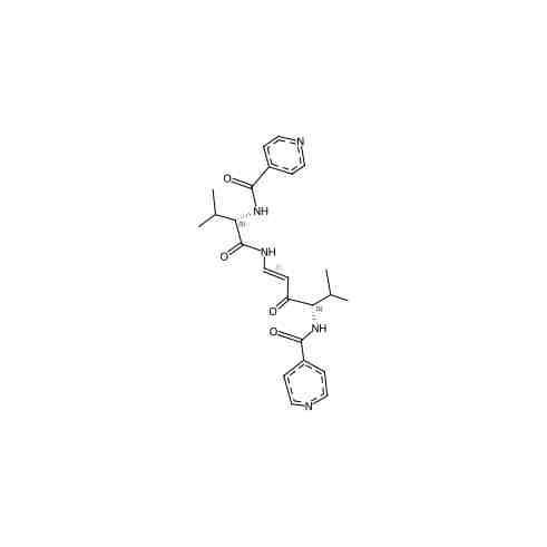 CC(C)[C@H](NC(=O)c1ccncc1)C(=O)/C=C/NC(=O)[C@@H](NC(=O)c1ccncc1)C(C)C